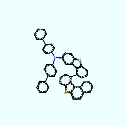 c1ccc(-c2ccc(N(c3ccc(-c4ccccc4)cc3)c3ccc4sc5cccc(-c6cccc7sc8ccc9ccccc9c8c67)c5c4c3)cc2)cc1